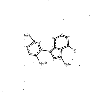 CCOC(=O)c1cnc(SC)nc1-c1cn(OC)c2c(Br)cccc12